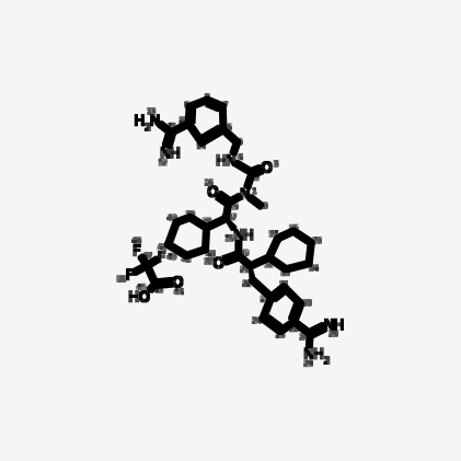 CN(C(=O)NCc1cccc(C(=N)N)c1)C(=O)[C@@H](NC(=O)[C@H](Cc1ccc(C(=N)N)cc1)C1CCCCC1)C1CCCCC1.O=C(O)C(F)(F)F